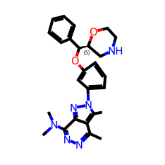 Cc1nnc(N(C)C)c2nn(-c3cccc(OC(c4ccccc4)[C@@H]4CNCCO4)c3)c(C)c12